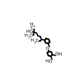 CC/C(=C\CCC(O)(CC)CC)c1cccc(COc2ccc(CO)c(CO)c2)c1